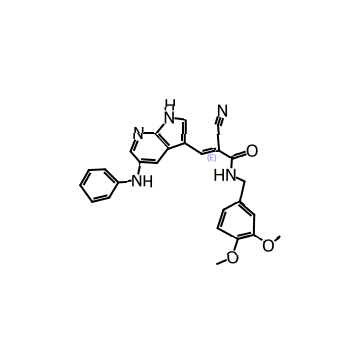 COc1ccc(CNC(=O)/C(C#N)=C/c2c[nH]c3ncc(Nc4ccccc4)cc23)cc1OC